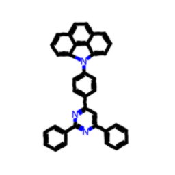 c1ccc(-c2cc(-c3ccc(-n4c5cccc6ccc7cccc4c7c65)cc3)nc(-c3ccccc3)n2)cc1